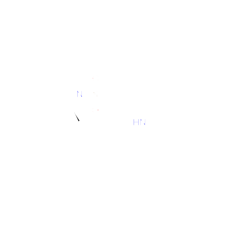 C[C@H]1CCCCN1S(=O)(=O)CCCNC(c1ccccc1)c1ccccc1